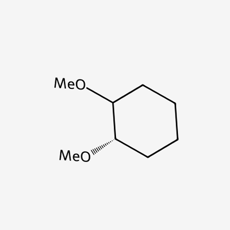 COC1CCCC[C@@H]1OC